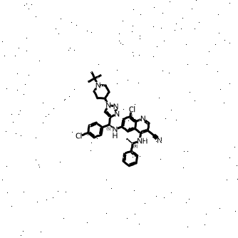 C[C@@H](Nc1c(C#N)cnc2c(Cl)cc(N[C@@H](c3ccc(Cl)cc3)c3cn(C4CCN(C(C)(C)C)CC4)nn3)cc12)c1ccccc1